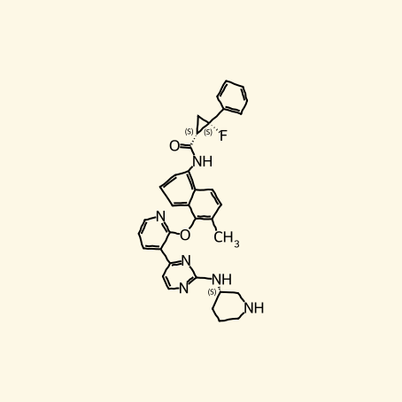 Cc1ccc2c(NC(=O)[C@@H]3C[C@@]3(F)c3ccccc3)cccc2c1Oc1ncccc1-c1ccnc(N[C@H]2CCCNC2)n1